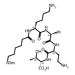 CCCCCCCCCCCCCCCC(=O)N[C@@H](CCCCN)C(=O)N[C@H](C(=O)N[C@@H](CCN)C(=O)N[C@H](C(=O)O)[C@@H](C)O)C(C)C